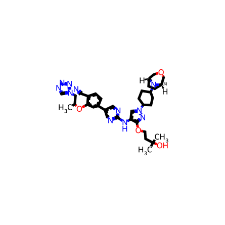 CC(Cn1cnnn1)Oc1cc(-c2cnc(Nc3cn(C4CCC(N5[C@@H]6CC[C@H]5COC6)CC4)nc3OCCC(C)(C)O)nc2)ccc1C#N